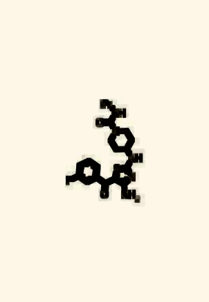 CC(C)NC(=O)N1CCC(Nc2nc(N)c(C(=O)c3cccc(F)c3)s2)CC1